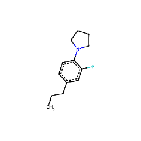 CCCc1ccc(N2CCCC2)c(F)c1